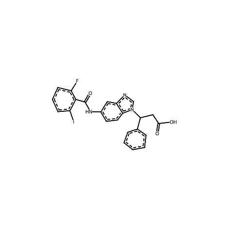 O=C(O)CC(c1ccccc1)n1cnc2cc(NC(=O)c3c(F)cccc3I)ccc21